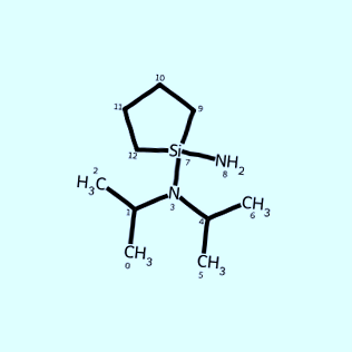 CC(C)N(C(C)C)[Si]1(N)CCCC1